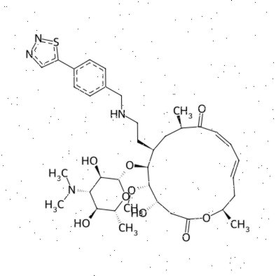 CO[C@@H]1[C@@H](O[C@@H]2O[C@H](C)[C@@H](O)[C@H](N(C)C)[C@H]2O)[C@@H](CCNCc2ccc(-c3cnns3)cc2)C[C@@H](C)C(=O)/C=C\C=C\C[C@@H](C)OC(=O)C[C@@H]1O